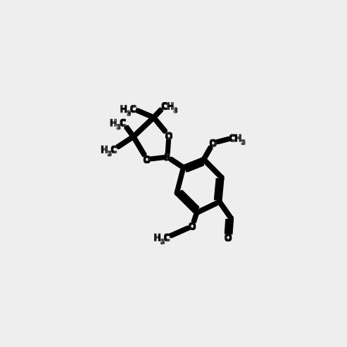 COc1cc(B2OC(C)(C)C(C)(C)O2)c(OC)cc1C=O